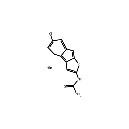 Br.NC(=S)Nc1nc2c(s1)=CC1=CC(Cl)=CCC=21